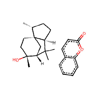 C[C@@H]1CC[C@H]2C(C)(C)[C@H]3C[C@@]12CC[C@@]3(C)O.O=c1ccc2ccccc2o1